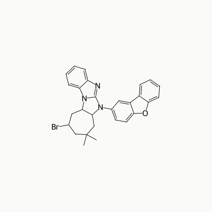 CC1(C)CC(Br)CC2C(C1)N(c1ccc3oc4ccccc4c3c1)c1nc3ccccc3n12